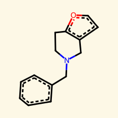 c1ccc(CN2CCc3occc3C2)cc1